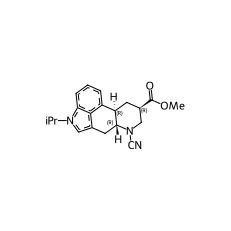 COC(=O)[C@@H]1C[C@@H]2c3cccc4c3c(cn4C(C)C)C[C@H]2N(C#N)C1